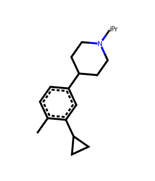 Cc1ccc(C2CCN(C(C)C)CC2)cc1C1CC1